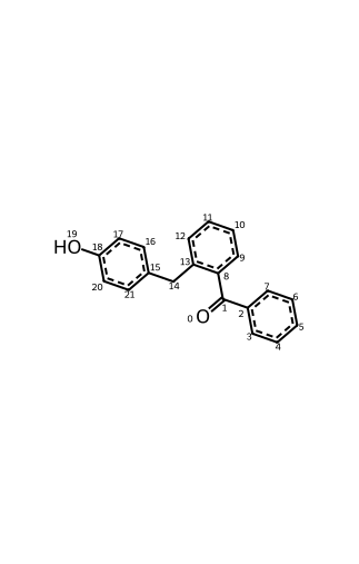 O=C(c1ccccc1)c1ccccc1Cc1ccc(O)cc1